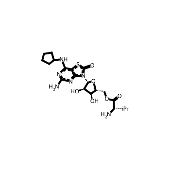 CC(C)[C@H](N)C(=O)OC[C@H]1O[C@@H](n2c(=O)sc3c(NC4CCCC4)nc(N)nc32)[C@H](O)[C@@H]1O